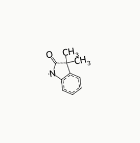 CC1(C)C(=O)[N]c2ccccc21